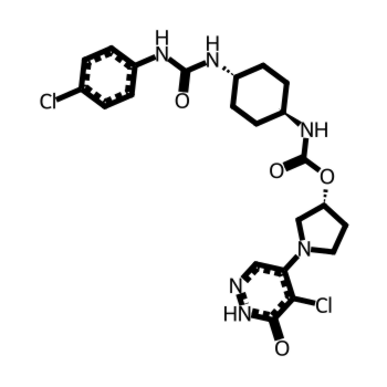 O=C(Nc1ccc(Cl)cc1)N[C@H]1CC[C@H](NC(=O)O[C@@H]2CCN(c3cn[nH]c(=O)c3Cl)C2)CC1